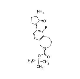 CC(C)(C)OC(=O)N1CCCc2c(ccc(N3CC[C@H](N)C3=O)c2F)C1